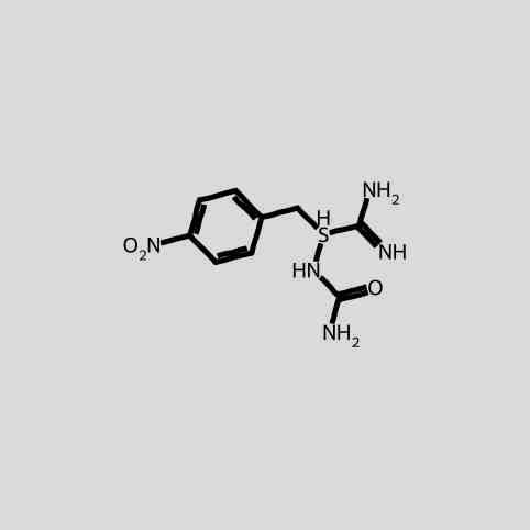 N=C(N)[SH](Cc1ccc([N+](=O)[O-])cc1)NC(N)=O